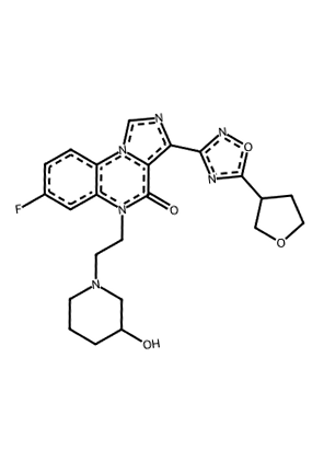 O=c1c2c(-c3noc(C4CCOC4)n3)ncn2c2ccc(F)cc2n1CCN1CCCC(O)C1